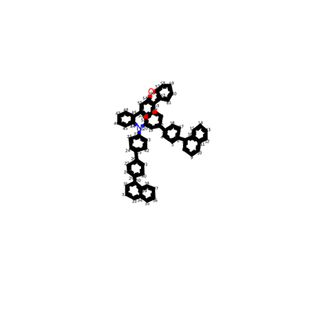 c1cc(-c2ccc(-c3cccc4ccccc34)cc2)cc(N(c2ccc(-c3ccc(-c4cccc5ccccc45)cc3)cc2)c2ccccc2-c2ccc3c(c2)oc2ccccc23)c1